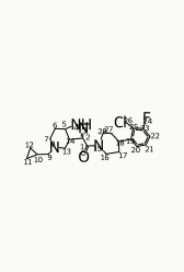 O=C(C1=NNC2CCN(CC3CC3)CC12)N1CCC(c2cccc(F)c2Cl)CC1